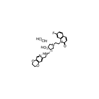 Cl.Cl.O=c1ccc2ccc(F)cc2n1CCN1C[C@H](CNCc2cc3c(cn2)OCCO3)[C@H](O)C1